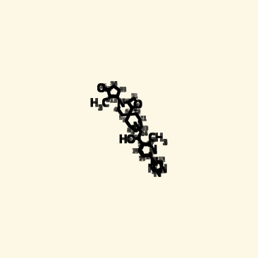 CC1=C(N2CCC3(CC4CCC(C3)N4CC(O)c3ccc(-n4cnnn4)nc3C)C3OCC32)CCC1=O